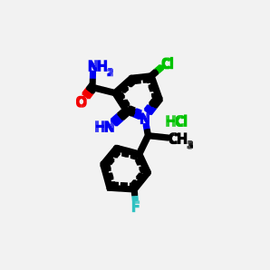 CC(c1cccc(F)c1)n1cc(Cl)cc(C(N)=O)c1=N.Cl